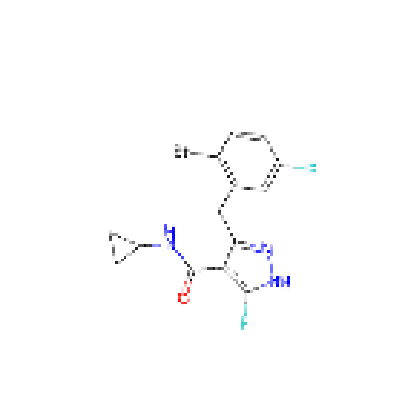 CCc1ccc(F)cc1Cc1n[nH]c(F)c1C(=O)NC1CC1